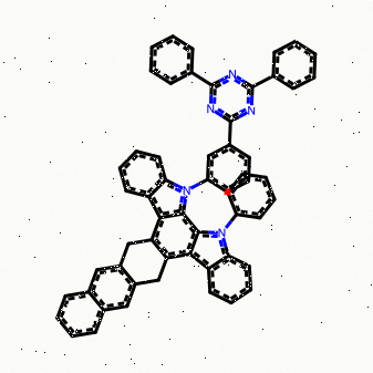 c1ccc(-c2nc(-c3ccccc3)nc(-c3cccc(-n4c5ccccc5c5c6c(c7c8ccccc8n(-c8ccccc8)c7c54)Cc4cc5ccccc5cc4C6)c3)n2)cc1